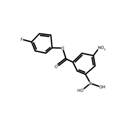 O=C(Oc1ccc(F)cc1)c1cc(B(O)O)cc([N+](=O)[O-])c1